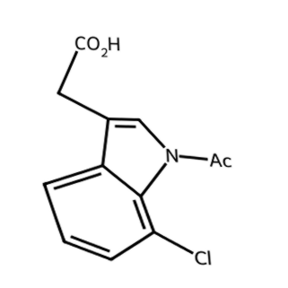 CC(=O)n1cc(CC(=O)O)c2cccc(Cl)c21